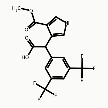 COC(=O)c1c[nH]cc1C(C(=O)O)c1cc(C(F)(F)F)cc(C(F)(F)F)c1